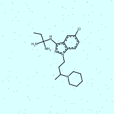 CCC(N)(N)Nc1nn(CCC(C)N2CCCCC2)c2ccc(Cl)cc12